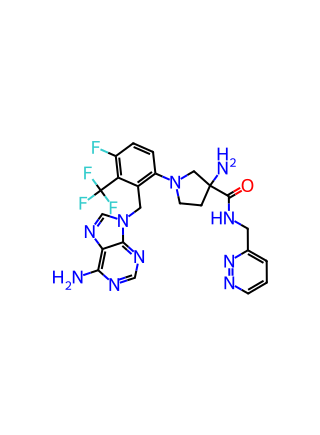 Nc1ncnc2c1ncn2Cc1c(N2CCC(N)(C(=O)NCc3cccnn3)C2)ccc(F)c1C(F)(F)F